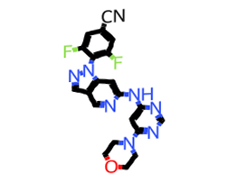 N#Cc1cc(F)c(-n2ncc3cnc(Nc4cc(N5CCOCC5)ncn4)cc32)c(F)c1